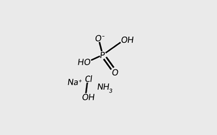 N.O=P([O-])(O)O.OCl.[Na+]